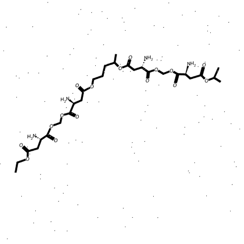 CCOC(=O)C[C@H](N)C(=O)OCOC(=O)[C@@H](N)CC(=O)OCCCC(C)OC(=O)C[C@H](N)C(=O)OCOC(=O)[C@@H](N)CC(=O)OC(C)C